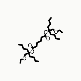 CCCCC(CCCC)(COCC)OC(=O)CCCCC(=O)OC(CCCC)(CCCC)COCC